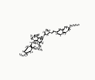 CNc1ccc2ccc(/C=C/c3cncc(-n4cc(Br)c5c(NCc6ccc(OC)cc6OC)ncnc54)c3)cc2n1